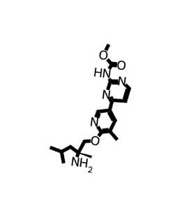 COC(=O)Nc1nccc(-c2cnc(OC[C@](C)(N)CC(C)C)c(C)c2)n1